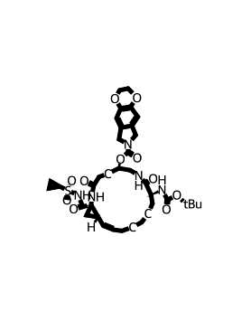 CC(C)(C)OC(=O)N[C@H]1CCCCC/C=C\[C@@H]2C[C@@]2(C(=O)NS(=O)(=O)C2CC2)NC(=O)CC[C@@H](OC(=O)N2Cc3cc4c(cc3C2)OCCO4)CNC1=O